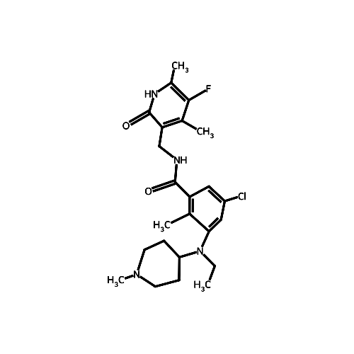 CCN(c1cc(Cl)cc(C(=O)NCc2c(C)c(F)c(C)[nH]c2=O)c1C)C1CCN(C)CC1